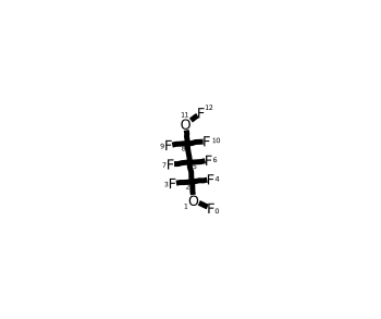 FOC(F)(F)C(F)(F)C(F)(F)OF